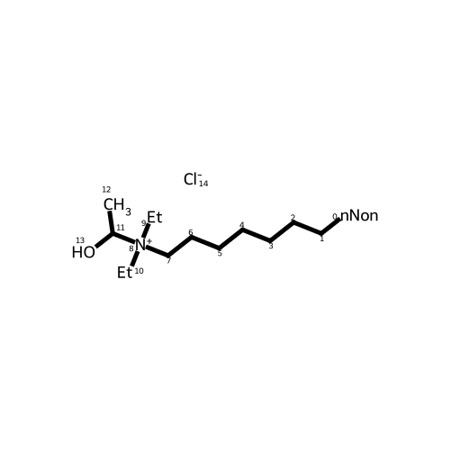 CCCCCCCCCCCCCCCC[N+](CC)(CC)C(C)O.[Cl-]